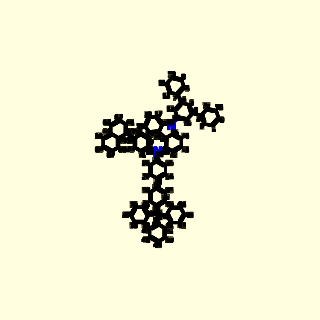 c1ccc(-c2cc(-c3ccccc3)cc(-n3c4ccccc4c4c(N(c5ccc(-c6ccc([Si](c7ccccc7)(c7ccccc7)c7ccccc7)cc6)cc5)c5ccc(-c6cccc7ccccc67)cc5)cccc43)c2)cc1